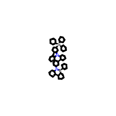 c1ccc(B2c3ccccc3-c3ccccc3N2c2cccc(-c3ccccc3-n3c4ccccc4c4ccc([Si](c5ccccc5)(c5ccccc5)c5ccccc5)cc43)c2)cc1